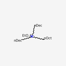 CCCCCCCC/C=C\CCCCCCCC[N+](CCCCCCCCCCCCCCCCCC)(CCCCCCCCCCCCCCCCCC)C(=O)OCC